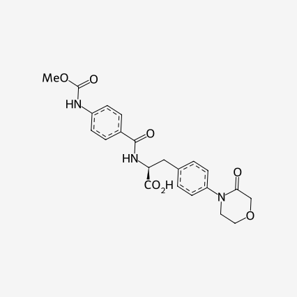 COC(=O)Nc1ccc(C(=O)N[C@@H](Cc2ccc(N3CCOCC3=O)cc2)C(=O)O)cc1